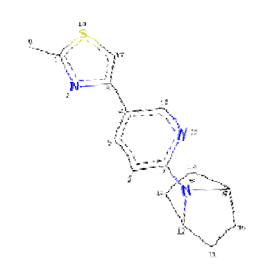 Cc1nc(-c2ccc(N3C4CCC3CC4)nc2)cs1